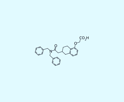 O=C(O)COc1cccc2c1CCC(CC(=O)N(Cc1ccccc1)Cc1ccccc1)C2